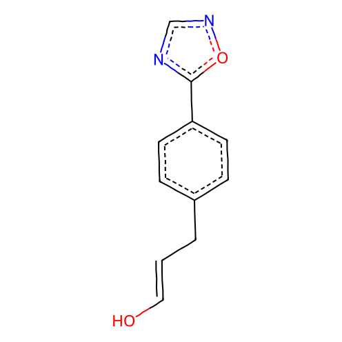 O/C=C/Cc1ccc(-c2ncno2)cc1